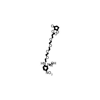 O=C(CCOCCOCCOCCOCCNc1ccc([N+](=O)[O-])cc1/N=N/O)OC1C(=O)CCC1=O